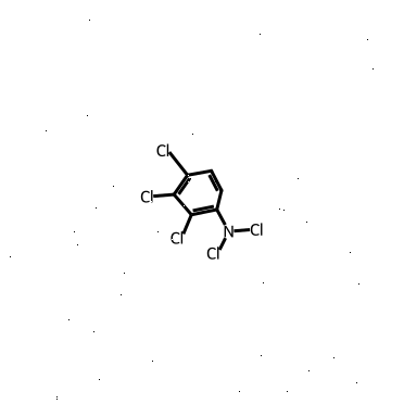 Clc1ccc(N(Cl)Cl)c(Cl)c1Cl